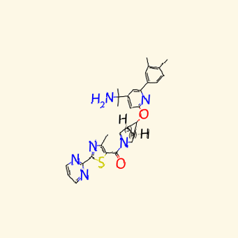 Cc1ccc(-c2cc(C(C)(C)N)cc(OC3[C@H]4CN(C(=O)c5sc(-c6ncccn6)nc5C)C[C@@H]34)n2)cc1C